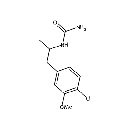 COc1cc(CC(C)NC(N)=O)ccc1Cl